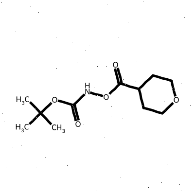 CC(C)(C)OC(=O)NOC(=O)C1CCOCC1